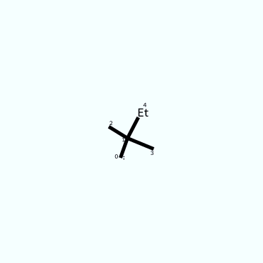 [CH]C(C)(C)C[CH2]